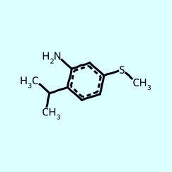 CSc1ccc(C(C)C)c(N)c1